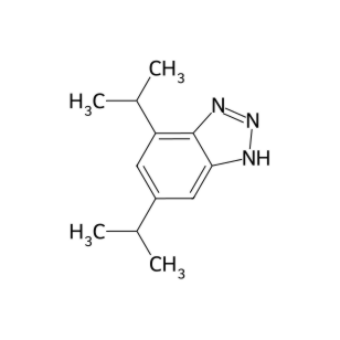 CC(C)c1cc(C(C)C)c2nn[nH]c2c1